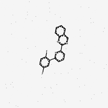 Fc1ccc(F)c(-c2cccc(-c3ncc4ccccc4n3)n2)c1